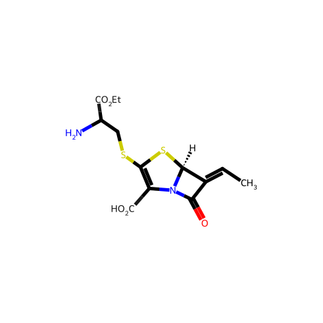 CC=C1C(=O)N2C(C(=O)O)=C(SCC(N)C(=O)OCC)S[C@@H]12